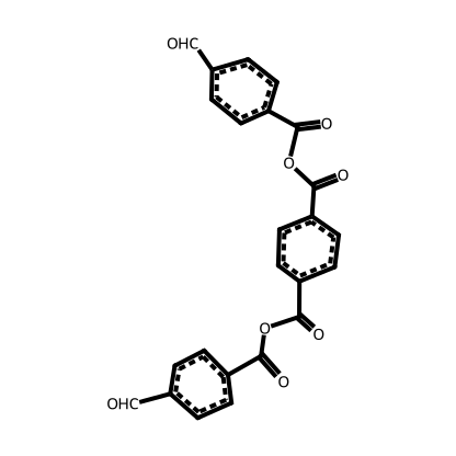 O=Cc1ccc(C(=O)OC(=O)c2ccc(C(=O)OC(=O)c3ccc(C=O)cc3)cc2)cc1